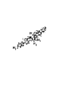 Cc1ccc2oc(-c3ccc4c(c3)C(C)(C)c3cc5c(cc3-4)C(C)(C)c3cc4c(cc3-5)C(C)(C)c3cc(-c5ccc(F)cc5)ccc3-4)nc2c1